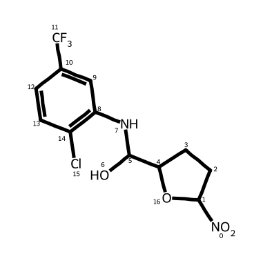 O=[N+]([O-])C1CCC(C(O)Nc2cc(C(F)(F)F)ccc2Cl)O1